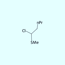 CCCCC(Cl)SC